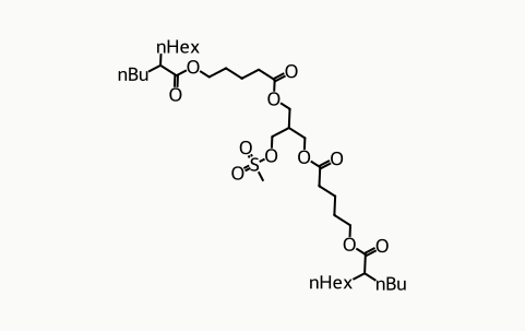 CCCCCCC(CCCC)C(=O)OCCCCC(=O)OCC(COC(=O)CCCCOC(=O)C(CCCC)CCCCCC)COS(C)(=O)=O